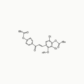 CCCOc1c(C=CC(=O)c2ccc(OC(=O)C(C)(C)C)cc2)cc(CC)c(OC(=O)C(C)(C)C)c1CC